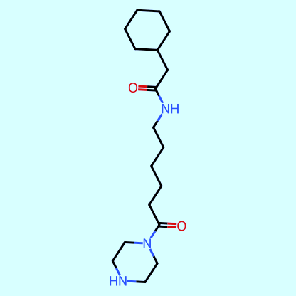 O=C(CC1CCCCC1)NCCCCCC(=O)N1CCNCC1